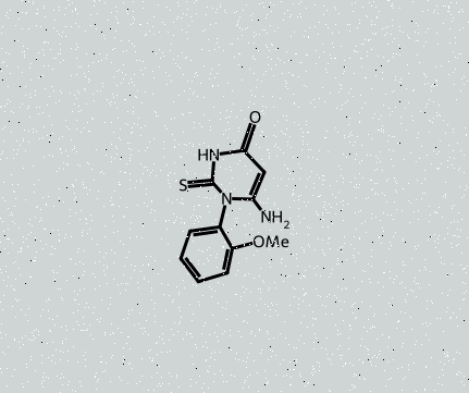 COc1ccccc1-n1c(N)cc(=O)[nH]c1=S